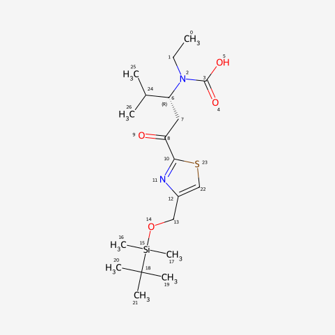 CCN(C(=O)O)[C@H](CC(=O)c1nc(CO[Si](C)(C)C(C)(C)C)cs1)C(C)C